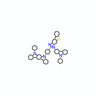 c1ccc(-n2c3ccccc3c3cc(-n4c(-c5ccc(-n6c7ccccc7c7cc8c9ccccc9n(-c9ccccc9)c8cc76)cc5)nc5cc6c(cc54)sc4ccccc46)ccc32)cc1